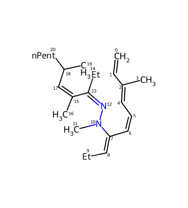 C=C/C(C)=C/C=C\C(=CCC)N(C)/N=C(CC)\C(C)=C/C(C)CCCCC